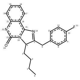 CCCCC1C(Cc2ccc(F)cc2)=Nc2c3ccccc3nc(=O)n21